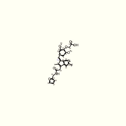 COc1cc(/C=C2/C(C)=C(CC(=O)NCc3ccco3)c3cc(F)ncc32)cc(OC)c1OCC(=O)O